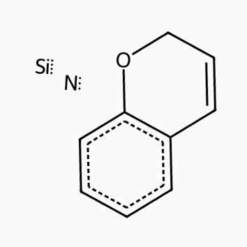 C1=Cc2ccccc2OC1.[N].[Si]